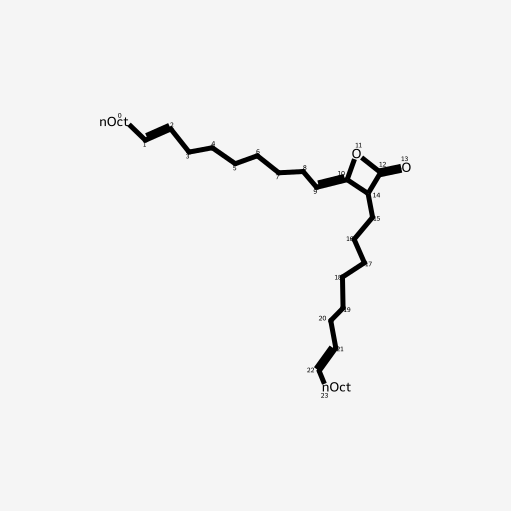 CCCCCCCCC=CCCCCCCC=C1OC(=O)C1CCCCCCC=CCCCCCCCC